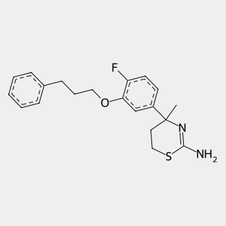 CC1(c2ccc(F)c(OCCCc3ccccc3)c2)CCSC(N)=N1